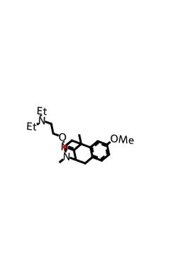 CCN(CC)CCON=C1C2Cc3ccc(OC)cc3C1(C)CCN2C